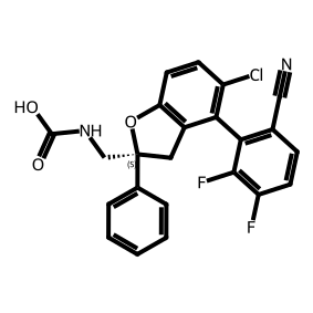 N#Cc1ccc(F)c(F)c1-c1c(Cl)ccc2c1C[C@@](CNC(=O)O)(c1ccccc1)O2